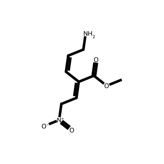 COC(=O)C(/C=C\CN)=C/C[N+](=O)[O-]